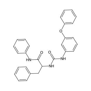 O=C(Nc1cccc(Oc2ccccc2)c1)NC(Cc1ccccc1)C(=O)Nc1ccccc1